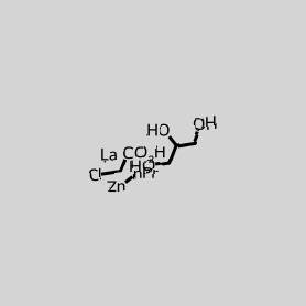 CC[CH2][Zn].O=C(O)CCl.OCC(O)CO.[La]